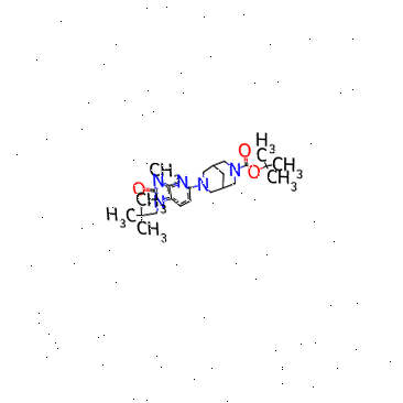 Cn1c(=O)n(CC(C)(C)C)c2ccc(N3CC4CC(CN(C(=O)OC(C)(C)C)C4)C3)nc21